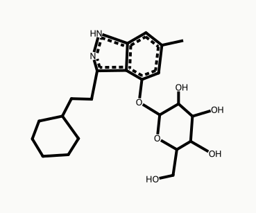 Cc1cc(OC2OC(CO)C(O)C(O)C2O)c2c(CCC3CCCCC3)n[nH]c2c1